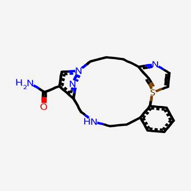 NC(=O)c1cn2nc1CNCCc1ccccc1S1=CC(=NC=C1)CCC2